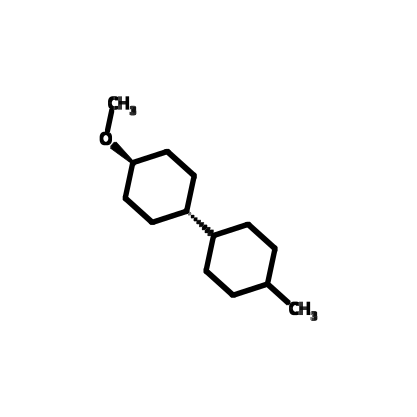 CO[C@H]1CC[C@H](C2CCC(C)CC2)CC1